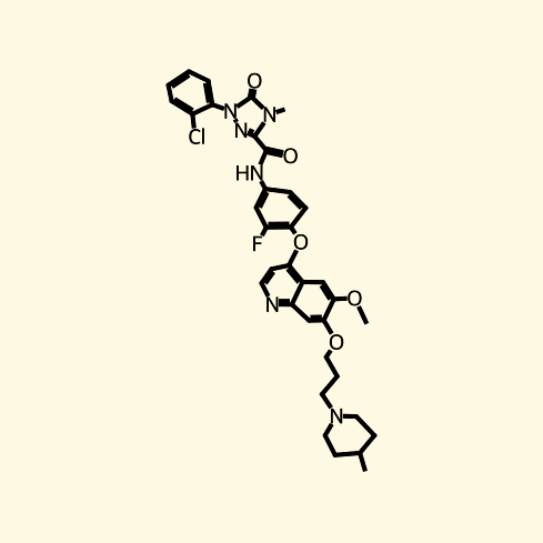 COc1cc2c(Oc3ccc(NC(=O)c4nn(-c5ccccc5Cl)c(=O)n4C)cc3F)ccnc2cc1OCCCN1CCC(C)CC1